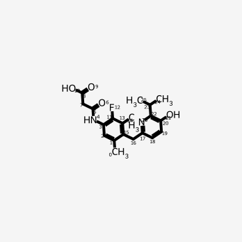 Cc1cc(NC(=O)CC(=O)O)c(F)c(C)c1Cc1ccc(O)c(C(C)C)n1